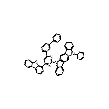 c1ccc(-c2cccc(-c3cc(-c4cccc5c4sc4ccccc45)nc(-n4c5ccccc5c5cc6c(cc54)c4ccccc4n6-c4ccccc4)n3)c2)cc1